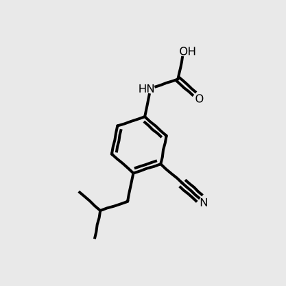 CC(C)Cc1ccc(NC(=O)O)cc1C#N